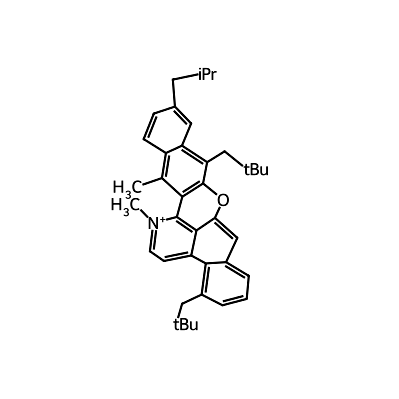 Cc1c2c(c(CC(C)(C)C)c3cc(CC(C)C)ccc13)Oc1cc3cccc(CC(C)(C)C)c3c3cc[n+](C)c-2c13